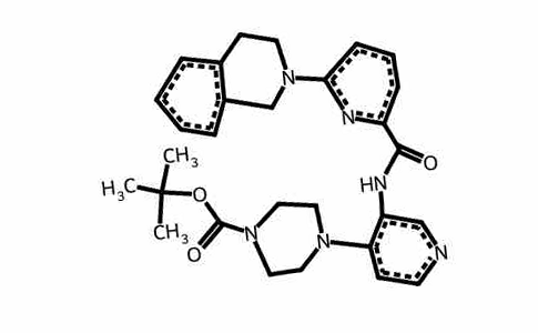 CC(C)(C)OC(=O)N1CCN(c2ccncc2NC(=O)c2cccc(N3CCc4ccccc4C3)n2)CC1